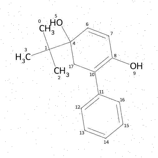 CC(C)(C)C1(O)C=CC(O)=C(c2ccccc2)C1